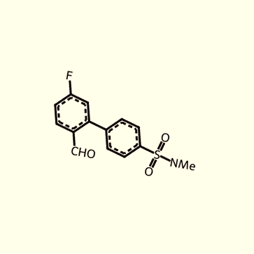 CNS(=O)(=O)c1ccc(-c2cc(F)ccc2C=O)cc1